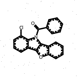 O=C(c1ccccc1)n1c2c(Cl)cccc2c2oc3ccccc3c21